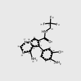 Nc1ccc(-c2c(C(=O)NCC(F)(F)F)cn3ncnc(N)c23)cc1Cl